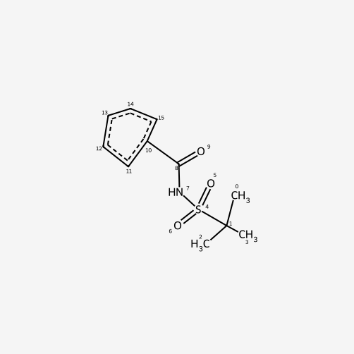 CC(C)(C)S(=O)(=O)NC(=O)c1ccccc1